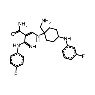 N=C(Nc1ccc(F)cc1)/C(=C\NC1(CN)CCC(Nc2cccc(F)c2)CC1)C(N)=O